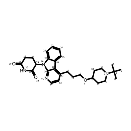 CC(C)(C)N1CCC(OCCCc2ccnc3c2c2ccccc2n3C2CCC(=O)NC2=O)CC1